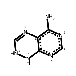 Nc1ncnc2c1N=CNN2